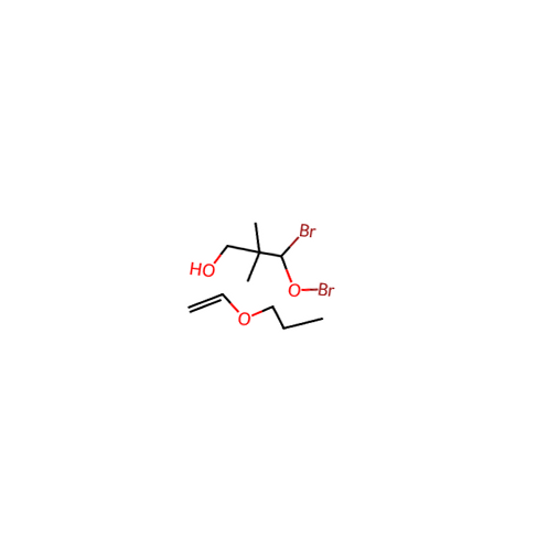 C=COCCC.CC(C)(CO)C(Br)OBr